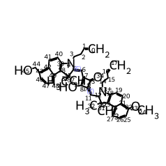 C=CCCN1/C(=C/C2=C(O)C(=C/C3=[N+](CCC=C)c4ccc5c(OC)cccc5c4C3(C)C)/C2=O)C(C)(C)c2c1ccc1c(CO)cccc21